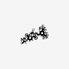 Cc1cn(-c2ccc3n(c2=O)C[C@@H](C)N(CCc2cc(C(F)(F)F)cc(C(F)(F)F)c2)C3=O)cn1